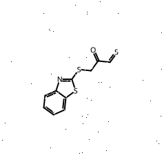 O=C(C=S)CSc1nc2ccccc2s1